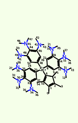 CC1=C(C)C(C)C([Si](c2cc(N(C)C)c(N(C)C)c(N(C)C)c2)(c2cc(N(C)C)c(N(C)C)c(N(C)C)c2)c2cc(N(C)C)c(N(C)C)c(N(C)C)c2)=C1C